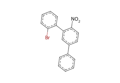 O=[N+]([O-])c1ccc(-c2ccccc2)cc1-c1ccccc1Br